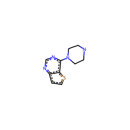 c1nc(N2CC[N]CC2)c2sccc2n1